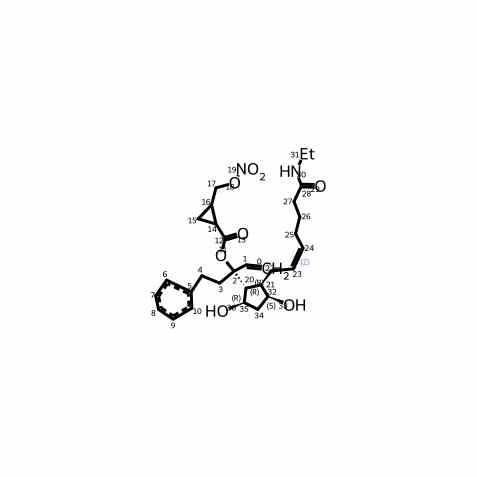 C=CC(CCc1ccccc1)(OC(=O)C1CC1CO[N+](=O)[O-])[C@@H]1[C@@H](C/C=C\CCCC(=O)NCC)[C@@H](O)C[C@H]1O